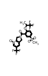 CC(Oc1ccc(S(C)(=O)=O)cc1C(=O)N1Cc2cc(C(F)(F)F)c[n+]([O-])c2C1)C(F)(F)F